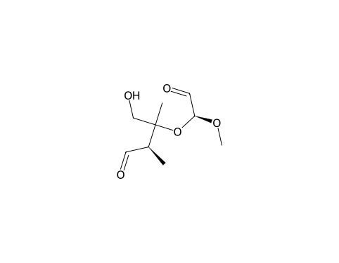 CO[C@H](C=O)OC(C)(CO)[C@@H](C)C=O